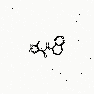 Cc1nocc1C(=O)N[C@@H]1CCCc2ccccc21